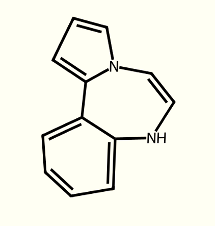 C1=Cn2cccc2-c2ccccc2N1